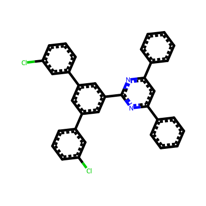 Clc1cccc(-c2cc(-c3cccc(Cl)c3)cc(-c3nc(-c4ccccc4)cc(-c4ccccc4)n3)c2)c1